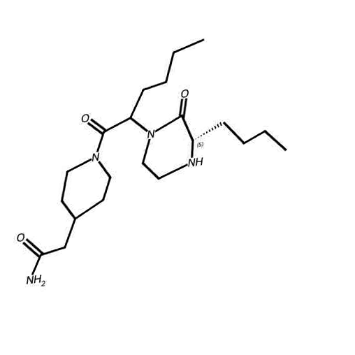 CCCCC(C(=O)N1CCC(CC(N)=O)CC1)N1CCN[C@@H](CCCC)C1=O